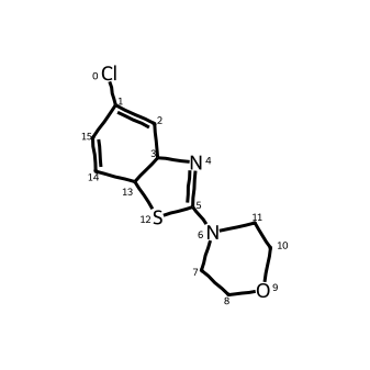 ClC1=CC2N=C(N3CCOCC3)SC2C=C1